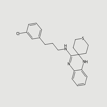 Clc1cccc(CCCNC2=Nc3ccccc3NC23CCSCC3)c1